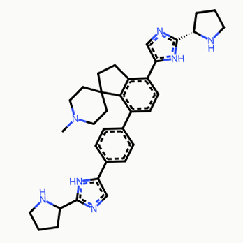 CN1CCC2(CCc3c(-c4cnc([C@@H]5CCCN5)[nH]4)ccc(-c4ccc(-c5cnc(C6CCCN6)[nH]5)cc4)c32)CC1